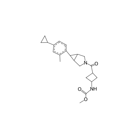 COC(=O)NC1CC(C(=O)N2CC3C(C2)C3c2ccc(C3CC3)cc2C)C1